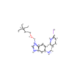 C[Si](C)(C)CCOCn1cnc2cc(/N=C\c3ccc(I)nc3)ccc21